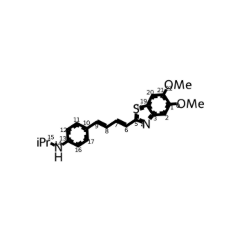 COc1cc2nc(/C=C/C=C/c3ccc(NC(C)C)cc3)sc2cc1OC